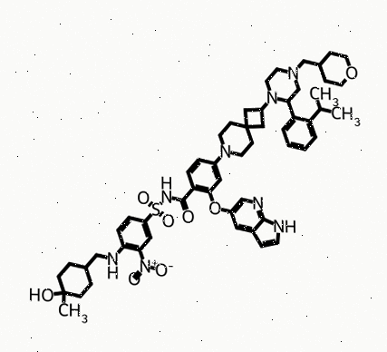 CC(C)c1ccccc1C1CN(CC2CCOCC2)CCN1C1CC2(CCN(c3ccc(C(=O)NS(=O)(=O)c4ccc(NCC5CCC(C)(O)CC5)c([N+](=O)[O-])c4)c(Oc4cnc5[nH]ccc5c4)c3)CC2)C1